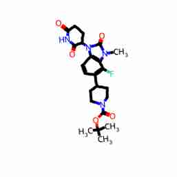 Cn1c(=O)n(C2CCC(=O)NC2=O)c2ccc(C3CCN(C(=O)OC(C)(C)C)CC3)c(F)c21